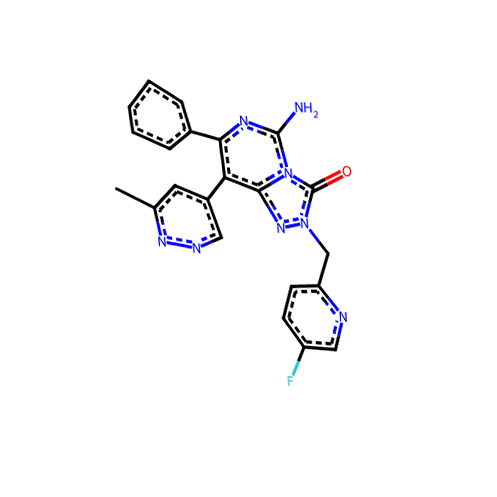 Cc1cc(-c2c(-c3ccccc3)nc(N)n3c(=O)n(Cc4ccc(F)cn4)nc23)cnn1